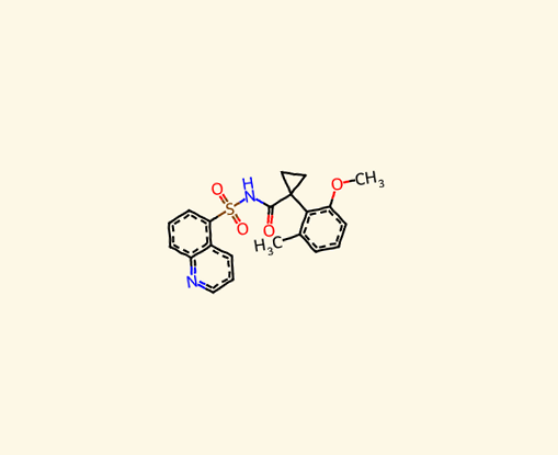 COc1cccc(C)c1C1(C(=O)NS(=O)(=O)c2cccc3ncccc23)CC1